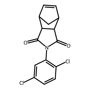 O=C1C2C3C=CC(C3)C2C(=O)N1c1cc(Cl)ccc1Cl